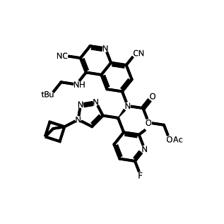 CC(=O)OCOC(=O)N(c1cc(C#N)c2ncc(C#N)c(NCC(C)(C)C)c2c1)[C@H](c1cn(C23CC(C2)C3)nn1)c1ccc(F)nc1C